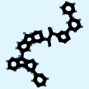 CN(C(=O)c1cccc(-c2cccc(-c3ccccc3)c2)c1)c1ccc2oc3ccc(-n4c5ccccc5c5cc(-c6ccccc6)ccc54)cc3c2c1